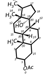 CC(=O)OC1CC[C@@]2(C)C(CC[C@@H]3[C@H]2CC[C@]2(C)C(C)CC[C@@]32O)C1